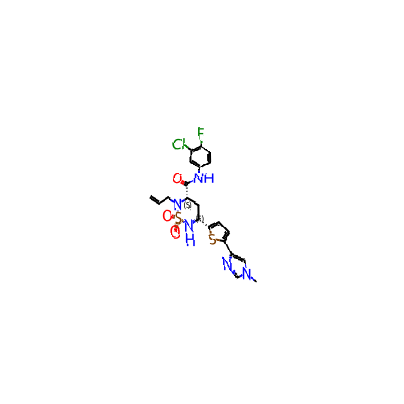 C=CCN1[C@H](C(=O)Nc2ccc(F)c(Cl)c2)C[C@H](c2ccc(-c3cn(C)cn3)s2)NS1(=O)=O